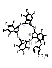 CCOC(=O)c1cccc(NC2(F)C(F)=C(F)C(F)=c3c2c2[nH]/c3=N\C3=NC(=N\c4[nH]c(c5c(F)c(F)c(F)c(F)c45)/N=C4\N=C(N2)c2c(F)c(F)c(F)c(F)c24)/c2c3cc(F)c(F)c2F)c1